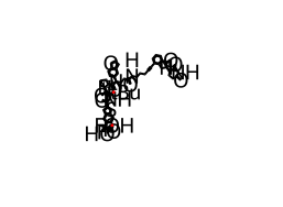 CC(C)(C)C(NC(=O)c1cc2cc(C(F)(F)P(=O)(O)O)ccc2s1)C(=O)N1CCC[C@H]1C(=O)N(CCC(=O)NCCCC#Cc1cccc2c1CN(C1CCC(=O)NC1=O)C2=O)c1ccc2occc2c1